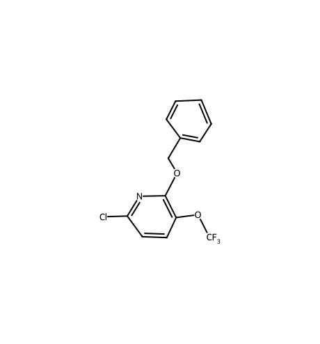 FC(F)(F)Oc1ccc(Cl)nc1OCc1ccccc1